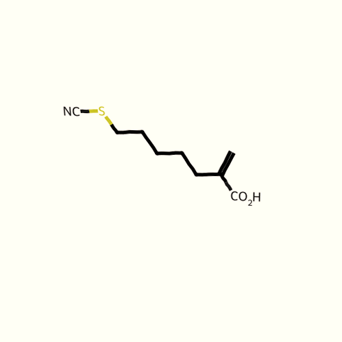 C=C(CCCCCSC#N)C(=O)O